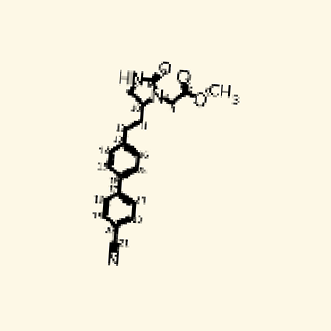 COC(=O)CN1C(=O)NCC1CCc1ccc(-c2ccc(C#N)cc2)cc1